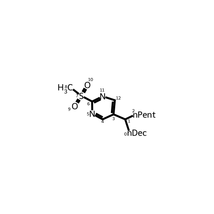 CCCCCCCCCCC(CCCCC)c1cnc(S(C)(=O)=O)nc1